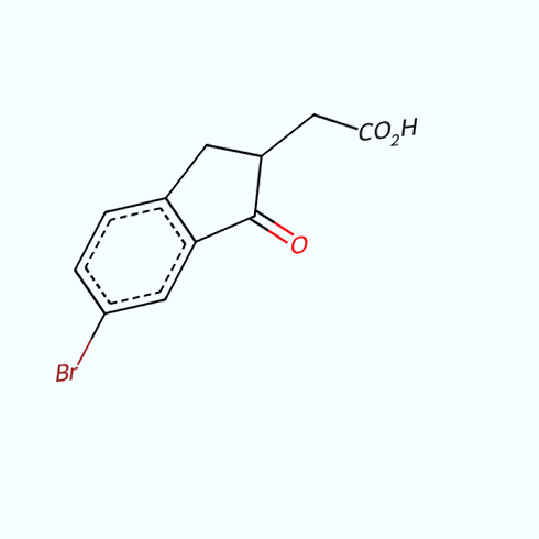 O=C(O)CC1Cc2ccc(Br)cc2C1=O